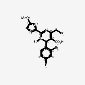 CCN1C(c2ncc(OC)s2)=NC(CBr)=C(C(=O)O)C1c1ccc(F)cc1Br